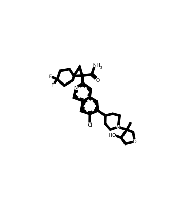 CC1(N2CCC(c3cc4cc(C5(C(N)=O)CC56CCC(F)(F)CC6)ncc4cc3Cl)CC2)COCC1O